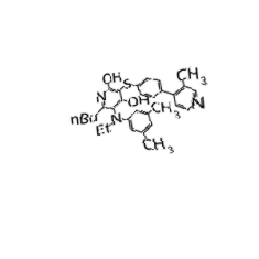 CCCCc1nc(O)c(Sc2ccc(-c3ccncc3C)cc2)c(O)c1N(CC)c1cc(C)cc(C)c1